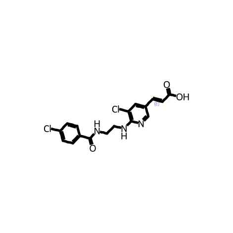 O=C(O)/C=C/c1cnc(NCCNC(=O)c2ccc(Cl)cc2)c(Cl)c1